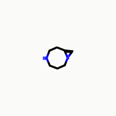 C1=C2CCNCCCN12